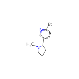 CCc1ccc(C2CCCN2C)cn1